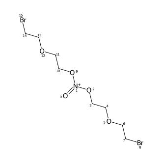 O=[N+](OCCOCCBr)OCCOCCBr